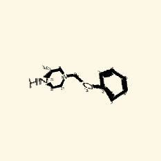 [CH](Oc1ccccc1)N1CCNCC1